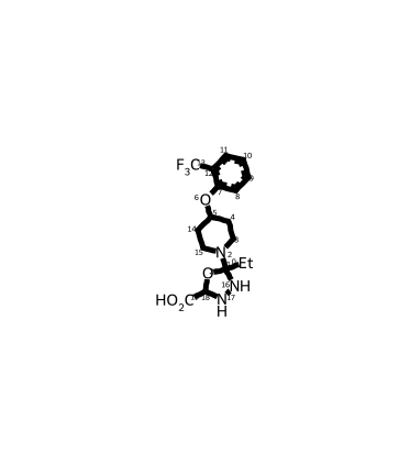 CCC1(N2CCC(Oc3ccccc3C(F)(F)F)CC2)NNC(C(=O)O)O1